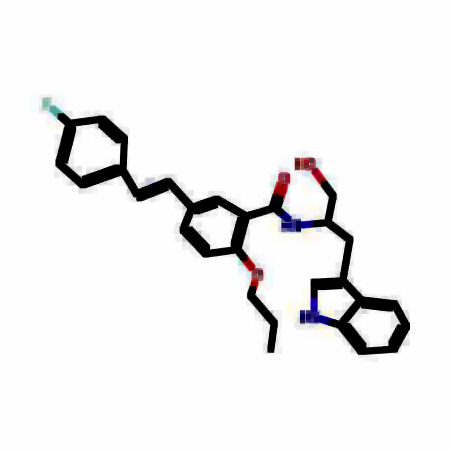 CCCOc1ccc(/C=C/c2ccc(F)cc2)cc1C(=O)NC(CO)Cc1c[nH]c2ccccc12